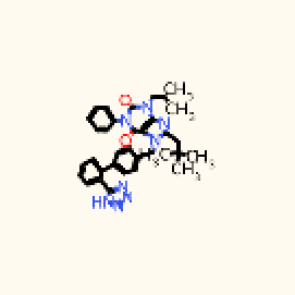 CC(C)Cn1c(=O)n(-c2ccccc2)c(=O)c2c1nc(CC(C)(C)C)n2Cc1ccc(-c2ccccc2-c2nnn[nH]2)cc1